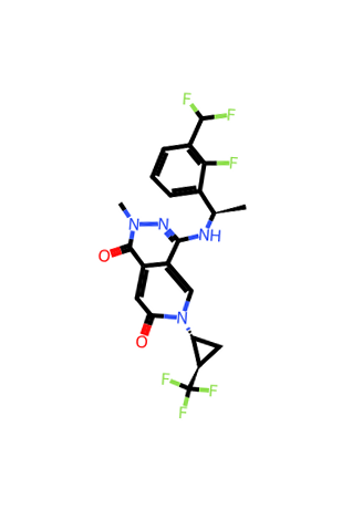 C[C@@H](Nc1nn(C)c(=O)c2cc(=O)n([C@@H]3C[C@H]3C(F)(F)F)cc12)c1cccc(C(F)F)c1F